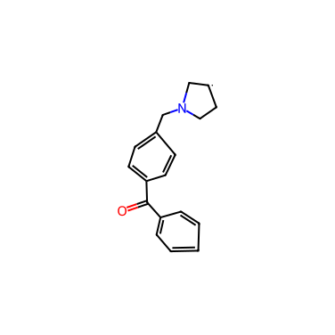 O=C(c1ccccc1)c1ccc(CN2C[CH]CC2)cc1